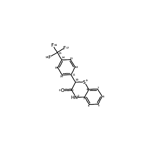 O=C1Nc2ccccc2SC1c1ccc(C(F)(F)F)cc1